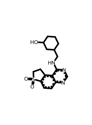 O=S1(=O)CCc2c1ccc1ncnc(NCC3CCCC(O)C3)c21